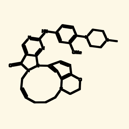 COc1cc(Nc2ncc3c(=O)n4n(c3n2)-c2ccc3c(c2)N(CCC/C=C\C4)CCO3)ccc1N1CCN(C)CC1